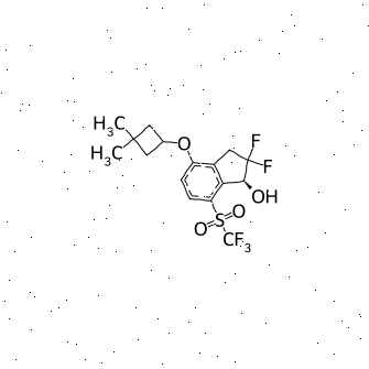 CC1(C)CC(Oc2ccc(S(=O)(=O)C(F)(F)F)c3c2CC(F)(F)[C@H]3O)C1